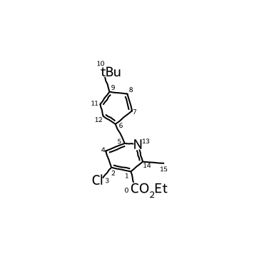 CCOC(=O)c1c(Cl)cc(-c2ccc(C(C)(C)C)cc2)nc1C